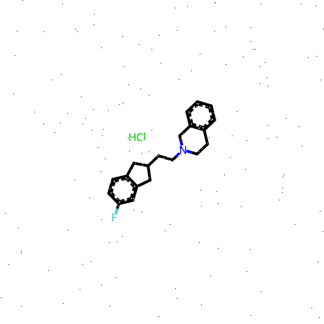 Cl.Fc1ccc2c(c1)CC(CCN1CCc3ccccc3C1)C2